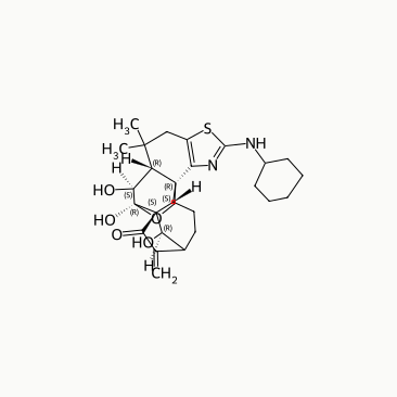 C=C1C(=O)[C@]23[C@H](O)C1CC[C@H]2[C@@]12CO[C@@]3(O)[C@@H](O)[C@@H]1C(C)(C)Cc1sc(NC3CCCCC3)nc12